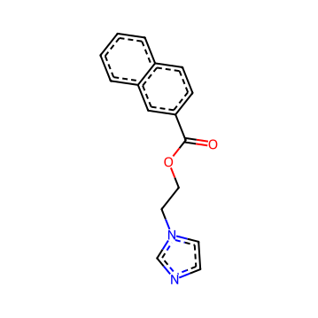 O=C(OCCn1ccnc1)c1ccc2ccccc2c1